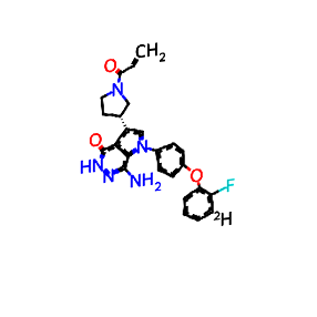 [2H]c1cccc(Oc2ccc(-n3cc([C@@H]4CCN(C(=O)C=C)C4)c4c(=O)[nH]nc(N)c43)cc2)c1F